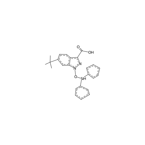 CC(C)(C)c1ccc2c(C(=O)O)nn(O[SiH](c3ccccc3)c3ccccc3)c2c1